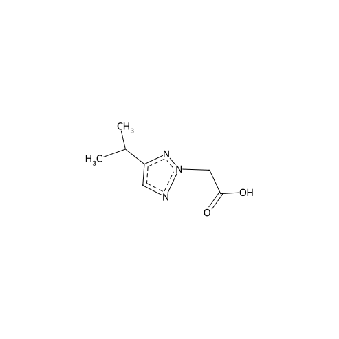 CC(C)c1cnn(CC(=O)O)n1